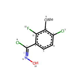 COc1c(Cl)ccc(/C(Cl)=N\O)c1F